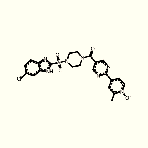 Cc1cc(-c2ncc(C(=O)N3CCN(S(=O)(=O)c4nc5ccc(Cl)cc5[nH]4)CC3)cn2)cc[n+]1[O-]